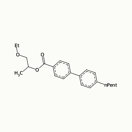 CCCCCc1ccc(-c2ccc(C(=O)OC(C)COCC)cc2)cc1